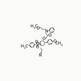 COCCCN1CC(CO[C@H]2CN(S(=O)(=O)c3ccc(C)cc3)[C@@H](CCC#N)C[C@@H]2c2ccc(OC)cc2)Oc2ccccc21